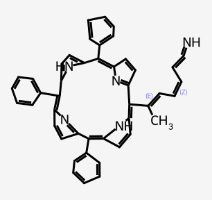 C/C(=C\C=C/C=C=N)c1c2nc(c(-c3ccccc3)c3ccc([nH]3)c(-c3ccccc3)c3nc(c(-c4ccccc4)c4ccc1[nH]4)C=C3)C=C2